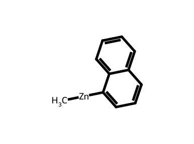 [CH3][Zn][c]1cccc2ccccc12